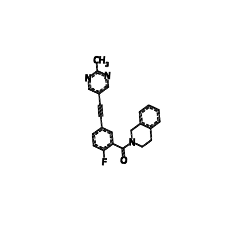 Cc1ncc(C#Cc2ccc(F)c(C(=O)N3CCc4ccccc4C3)c2)cn1